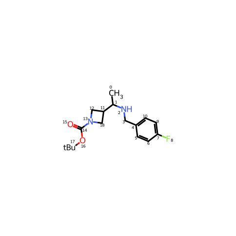 CC(NCc1ccc(F)cc1)C1CN(C(=O)OC(C)(C)C)C1